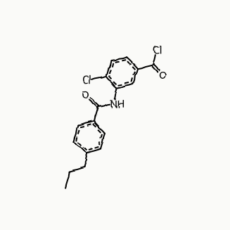 CCCc1ccc(C(=O)Nc2cc(C(=O)Cl)ccc2Cl)cc1